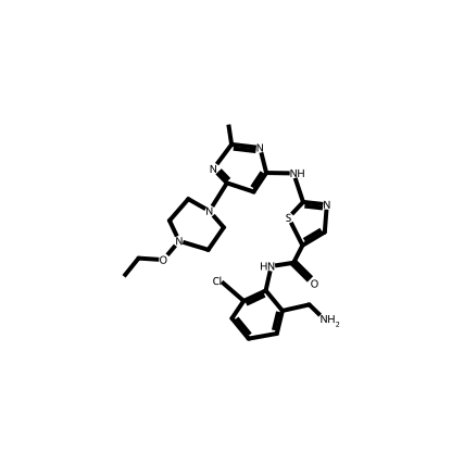 CCON1CCN(c2cc(Nc3ncc(C(=O)Nc4c(Cl)cccc4CN)s3)nc(C)n2)CC1